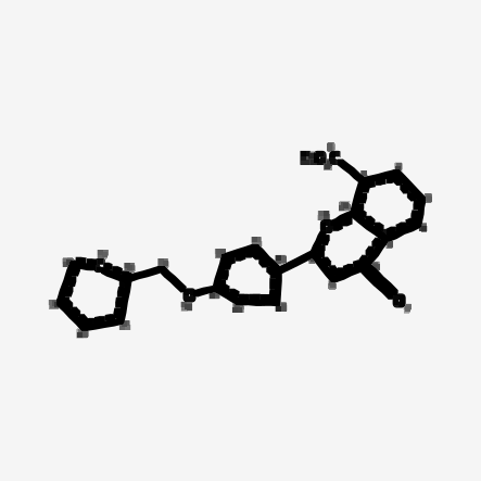 CCOC(=O)c1cccc2c(=O)cc(-c3ccc(OCc4ccccc4)cc3)oc12